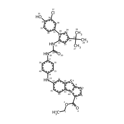 CCOC(=O)c1cnc2sc3cc(Nc4ccc(NC(=O)Nc5cc(C(C)(C)C)nn5-c5ccc(O)c(Cl)c5)cc4)ccc3n12